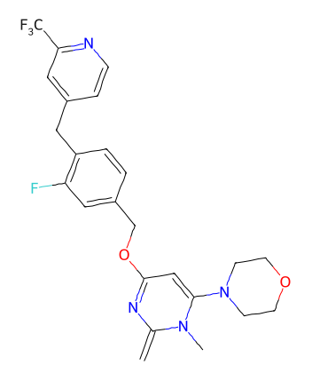 C=C1N=C(OCc2ccc(Cc3ccnc(C(F)(F)F)c3)c(F)c2)C=C(N2CCOCC2)N1C